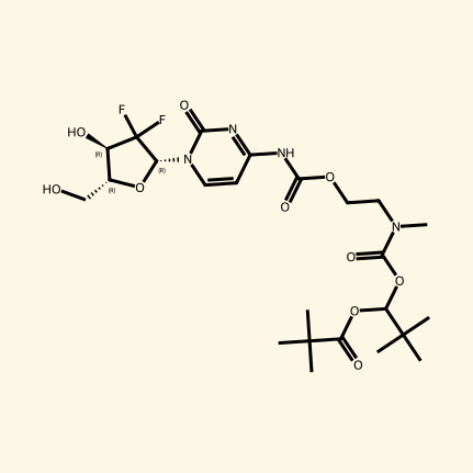 CN(CCOC(=O)Nc1ccn([C@@H]2O[C@H](CO)[C@@H](O)C2(F)F)c(=O)n1)C(=O)OC(OC(=O)C(C)(C)C)C(C)(C)C